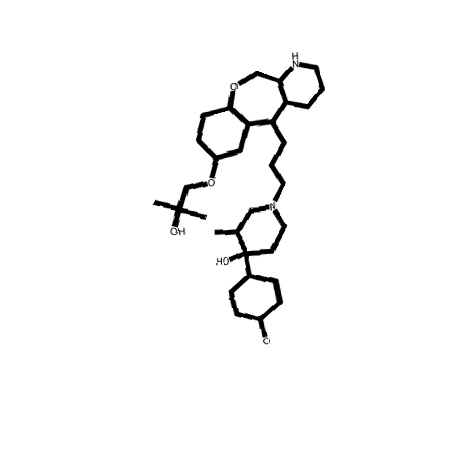 CC1CN(CCCC2C3CCCNC3COC3CCC(OCC(C)(C)O)CC32)CCC1(O)C1CCC(Cl)CC1